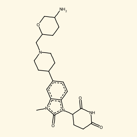 Cn1c(=O)n(C2CCC(=O)NC2=O)c2ccc(C3CCN(CC4CCC(N)CO4)CC3)cc21